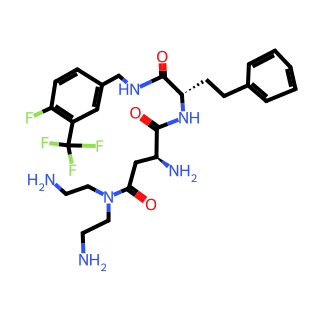 NCCN(CCN)C(=O)C[C@H](N)C(=O)N[C@@H](CCc1ccccc1)C(=O)NCc1ccc(F)c(C(F)(F)F)c1